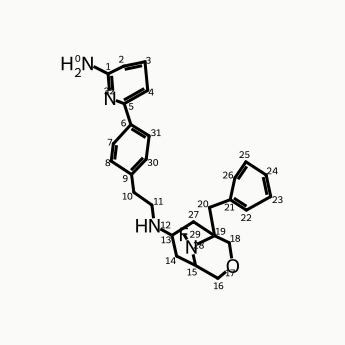 Nc1cccc(-c2ccc(CCNC3CC4COCC(Cc5ccccc5)(C3)N4F)cc2)n1